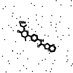 COCC(C)N1N=C(c2ccc(NC(=O)N3Cc4cccnc4C3)cc2)C(C)CC1=O